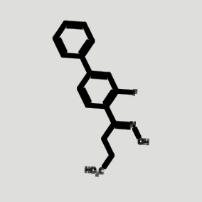 O=C(O)CCC(=NO)c1ccc(-c2ccccc2)cc1F